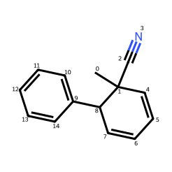 CC1(C#N)C=CC=CC1c1ccccc1